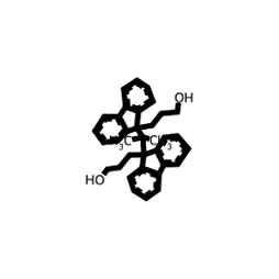 CC(C)(C1(CCCO)c2ccccc2-c2ccccc21)C1(CCCO)c2ccccc2-c2ccccc21